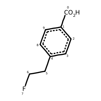 O=C(O)c1ccc(CCF)cc1